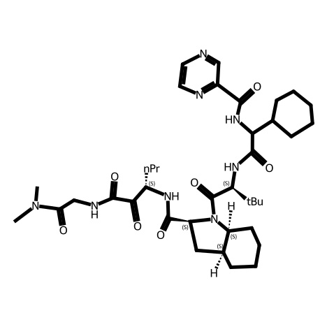 CCC[C@H](NC(=O)[C@@H]1C[C@@H]2CCCC[C@@H]2N1C(=O)[C@@H](NC(=O)C(NC(=O)c1cnccn1)C1CCCCC1)C(C)(C)C)C(=O)C(=O)NCC(=O)N(C)C